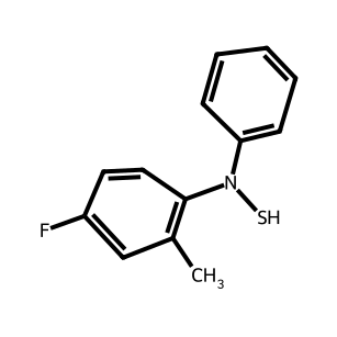 Cc1cc(F)ccc1N(S)c1ccccc1